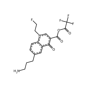 NCCCc1ccc2c(c1)c(=O)c(C(=O)OC(=O)C(F)(F)F)cn2CCF